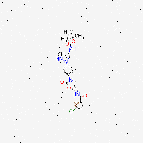 CNN(CCNC(=O)OC(C)(C)C)c1ccc(N2C[C@H](CNC(=O)c3ccc(Cl)s3)OC2=O)cc1